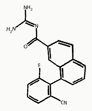 N#Cc1cccc(F)c1-c1cccc2ccc(C(=O)N=C(N)N)cc12